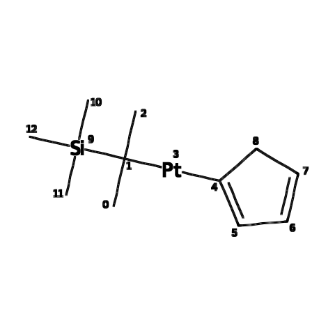 C[C](C)([Pt][C]1=CC=CC1)[Si](C)(C)C